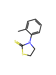 Cc1ccccc1N1CCSC1=S